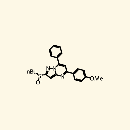 CCCC[S+]([O-])c1cc2nc(-c3ccc(OC)cc3)cc(-c3ccccc3)n2n1